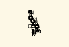 Cn1cncc1C(=O)c1ccc2nc(Cl)c(Cc3ccc(-n4cccn4)cc3)c(Cl)c2c1